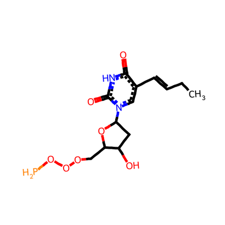 CC/C=C/c1cn(C2CC(O)C(COOOP)O2)c(=O)[nH]c1=O